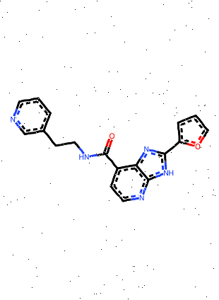 O=C(NCCc1cccnc1)c1ccnc2[nH]c(-c3ccco3)nc12